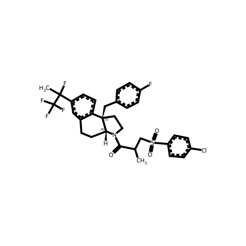 CC(CS(=O)(=O)c1ccc(Cl)cc1)C(=O)N1CC[C@@]2(Cc3ccc(F)cc3)c3ccc(C(C)(F)C(F)(F)F)cc3CC[C@@H]12